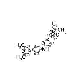 CC(C)S(=O)(=O)N1CCC(CC(=O)Nc2ccc(N3C[C@@H](C)O[C@@H](C)C3)cc2)CC1